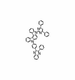 c1ccc(-c2cc(-c3ccccc3)nc(-n3c4ccccc4c4c5c6ccccc6n(-c6ccc(-c7nc8ccccc8nc7-c7ccccc7)cc6)c5ccc43)n2)cc1